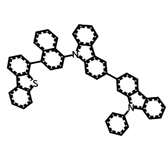 c1ccc(-n2c3ccccc3c3ccc(-c4ccc5c(c4)c4ccccc4n5-c4ccc(-c5cccc6c5sc5ccccc56)c5ccccc45)cc32)cc1